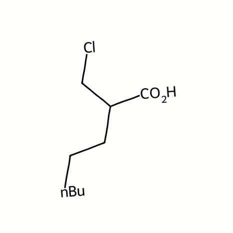 CCCCCCC(CCl)C(=O)O